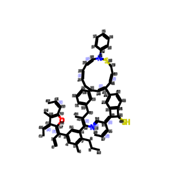 C=C/C(c1cc(C)c(CCC)c(C(/N=C/C(/C=C\C)=C2\c3cc(C4=C/CC/C=C\C=C/N(c5ccccc5)SC/C=C\4)ccc3C2S)=C(\C)Cc2ccccc2)c1)=c1/oc(/C=C\C)c(C)/c1=C/C